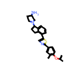 Cc1cc(-c2ncc(-c3cccc4c3CCC4N3CCC(N)C3)s2)ccc1OC(C)C